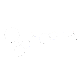 O=C(C1CC2(C3CCCCCCC3)CCCCC2N1)N1CCc2nc(NCC3(O)CC3)sc2C1